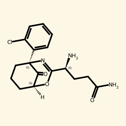 NC(=O)CC[C@H](N)C1=N[C@]2(c3ccccc3Cl)CCC[C@H](O1)C2=O